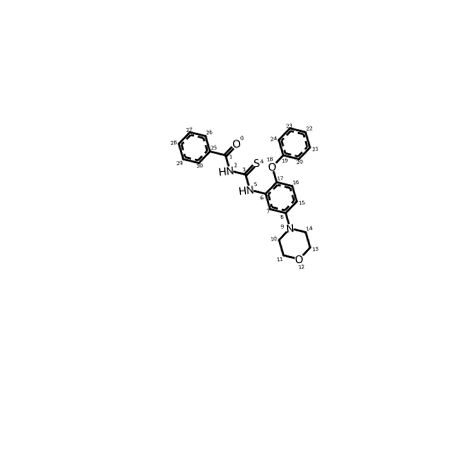 O=C(NC(=S)Nc1cc(N2CCOCC2)ccc1Oc1ccccc1)c1ccccc1